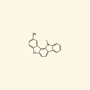 CC(C)c1ccc2oc3ccc4c5ccccc5n(C)c4c3c2c1